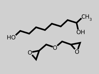 C(OCC1CO1)C1CO1.CC(O)CCCCCCCO